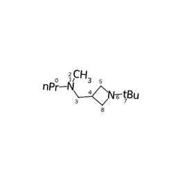 CCCN(C)CC1CN(C(C)(C)C)C1